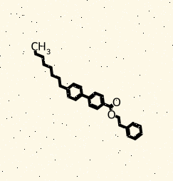 CCCCCCCCc1ccc(-c2ccc(C(=O)OCCc3ccccc3)cc2)cc1